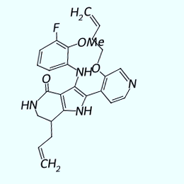 C=CCCOc1cnccc1-c1[nH]c2c(c1Nc1cccc(F)c1OC)C(=O)NCC2CC=C